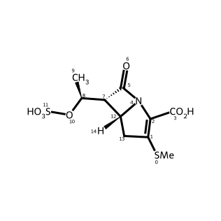 CSC1=C(C(=O)O)N2C(=O)[C@@H]([C@H](C)OS(=O)(=O)O)[C@H]2C1